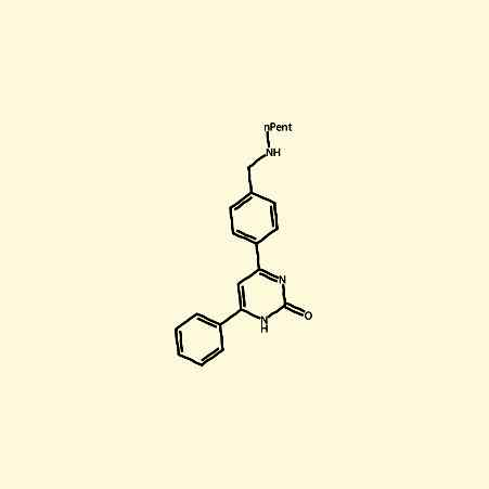 CCCCCNCc1ccc(-c2cc(-c3ccccc3)[nH]c(=O)n2)cc1